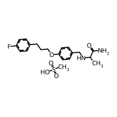 CC(NCc1ccc(OCCCc2ccc(F)cc2)cc1)C(N)=O.CS(=O)(=O)O